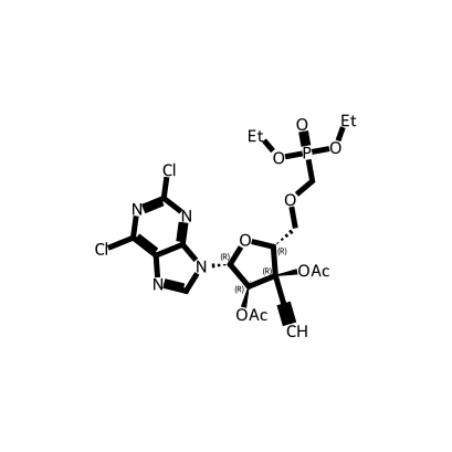 C#C[C@@]1(OC(C)=O)[C@@H](COCP(=O)(OCC)OCC)O[C@@H](n2cnc3c(Cl)nc(Cl)nc32)[C@@H]1OC(C)=O